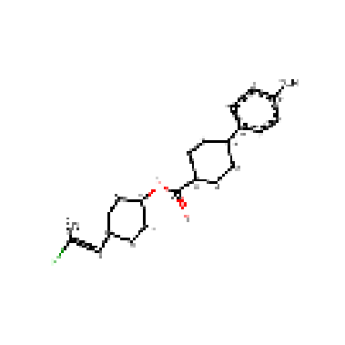 N#C/C(F)=C\C1CCC(OC(=O)C2CCC(c3ccc(C#N)cc3)CC2)CC1